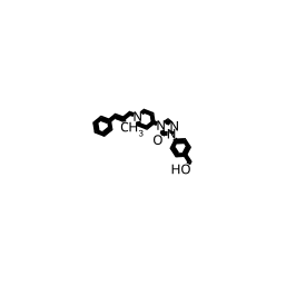 C/C(=C\c1ccccc1)CN1CCC(n2cnn(-c3ccc(CO)cc3)c2=O)CC1